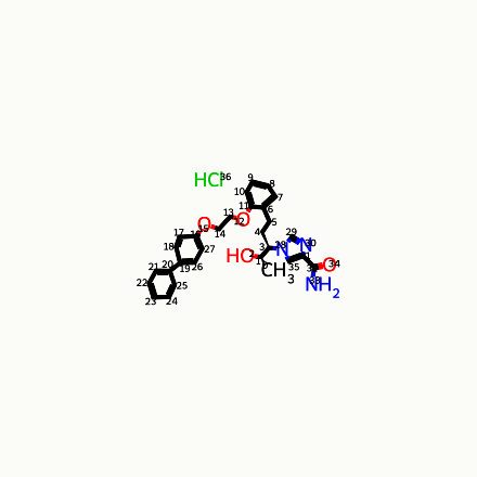 C[C@H](O)[C@@H](CCc1ccccc1OCCOc1ccc(-c2ccccc2)cc1)n1cnc(C(N)=O)c1.Cl